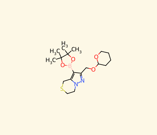 CC1(C)OB(c2c(COC3CCCCO3)nn3c2CSCC3)OC1(C)C